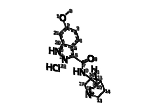 COc1ccc2c(C(=O)N[C@H]3CN4CCC3CC4)n[nH]c2c1.Cl